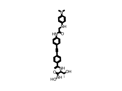 C=C(N[C@H](C(=O)NO)[C@@H](C)O)c1ccc(C#Cc2ccc(NC(=O)CNc3ccc(N(C)C)cc3)cc2)cc1